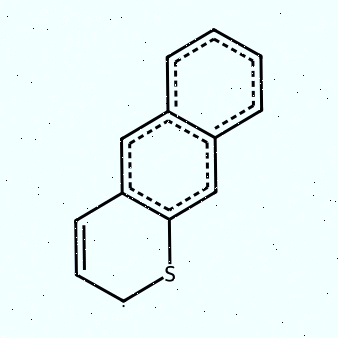 [CH]1C=Cc2cc3ccccc3cc2S1